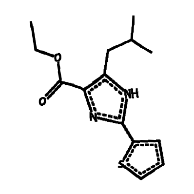 CCOC(=O)c1nc(-c2cccs2)[nH]c1CC(C)C